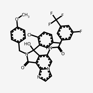 COc1ccc(CN2C(=O)c3c(c(NC(=O)c4cc(F)cc(C(F)(F)F)c4)cn4ccnc34)C2(O)c2cc(F)ccc2Cl)cc1